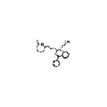 CCOC(=O)C(CCCC1CCCCC(=O)N1)N=C(c1ccccc1)c1ccccc1